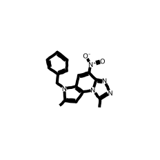 Cc1cc2c(cc([N+](=O)[O-])c3nnc(C)n32)n1Cc1ccccc1